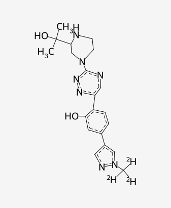 [2H]C([2H])([2H])n1cc(-c2ccc(-c3cnc(N4CCNC(C(C)(C)O)C4)nn3)c(O)c2)cn1